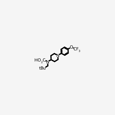 CC(C)(C)CN(C(=O)O)C1CCN(c2ccc(OC(F)(F)F)cc2)CC1